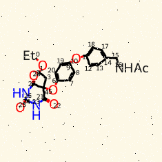 CCOCCC1(Oc2ccc(Oc3ccc(CNC(C)=O)cc3)cc2)C(=O)NC(=O)NC1=O